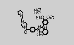 CCOc1ccc(C2=NN(c3ccc(C(=O)N4CCN(CCN5CCCC5)CC4)cc3)C(=O)[C@@H]3CC=CC[C@H]23)cc1OCC.Cl.Cl